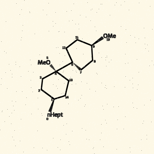 CCCCCCC[C@H]1CC[C@@](OC)([C@H]2CC[C@H](OC)CC2)CC1